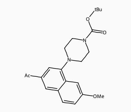 COc1ccc2cc(C(C)=O)cc(N3CCN(C(=O)OC(C)(C)C)CC3)c2c1